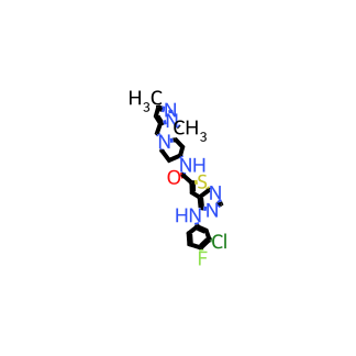 Cc1cc(CN2CCC(NC(=O)c3cc4c(Nc5ccc(F)c(Cl)c5)ncnc4s3)CC2)n(C)n1